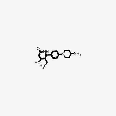 CCc1c(O)cc(=O)[nH]c1-c1ccc(N2CCC(N)CC2)cc1